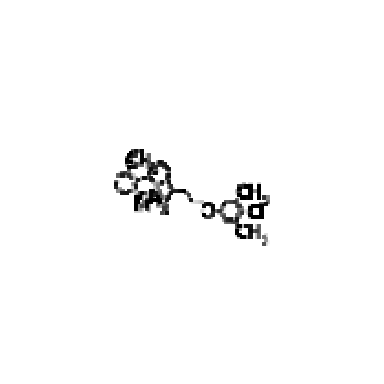 CCn1cc(CCCOc2cc(C)c(Cl)c(C)c2)c2ccc(Cl)c(-c3c(C)cccc3C)c21